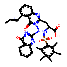 C/C=C/c1cccc2nc(CC(NS(=O)(=O)c3c(C)c(C)c(C)c(C)c3C)C(=O)O)n(Nc3nc4ccccc4c(=O)[nH]3)c(=O)c12